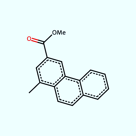 COC(=O)c1cc(C)c2ccc3ccccc3c2c1